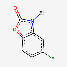 CCn1c(=O)oc2ccc(F)cc21